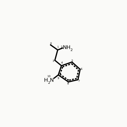 CC(N)Cc1ccccc1N